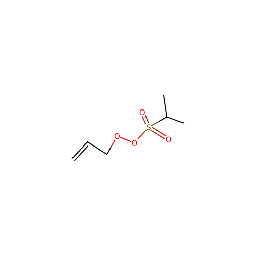 C=CCOOS(=O)(=O)C(C)C